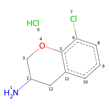 Cl.NC1COc2c(Cl)cccc2C1